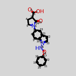 O=C(O)C1CCN(c2ccc3c(ccn3NOc3ccccc3)c2)C1=O